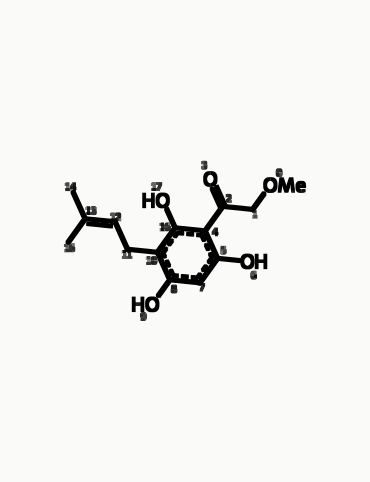 COCC(=O)c1c(O)cc(O)c(CC=C(C)C)c1O